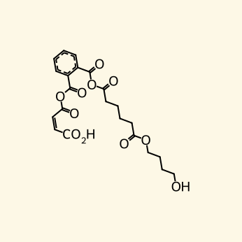 O=C(O)/C=C\C(=O)OC(=O)c1ccccc1C(=O)OC(=O)CCCCC(=O)OCCCCO